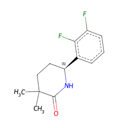 CC1(C)CC[C@@H](c2cccc(F)c2F)NC1=O